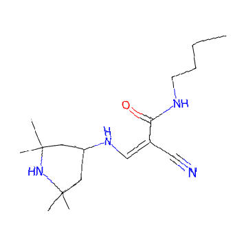 CCCCNC(=O)C(C#N)=CNC1CC(C)(C)NC(C)(C)C1